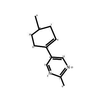 Cc1ncc(C2=CCC(C)CC2)cn1